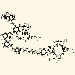 CN(CC(=O)NCC(S(=O)(=O)O)S(=O)(=O)O)Cc1cc(Cl)c(OCc2cccc(-c3cccc(OCc4cn(CCOCCOCCN5CCN(C(=O)CN6CCN(CC(=O)O)CCN(CC(=O)O)CCN(CC(=O)O)CC6)CC5)nn4)c3)c2Br)cc1OCc1cncc(S(C)(=O)=O)c1